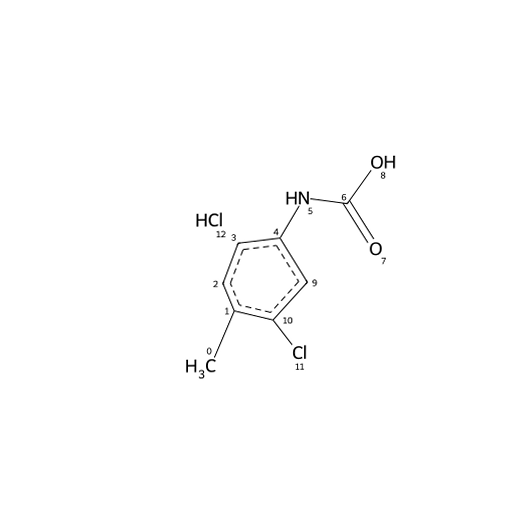 Cc1ccc(NC(=O)O)cc1Cl.Cl